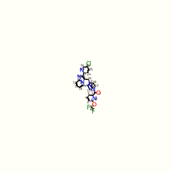 O=C(c1cccc(OC(F)F)n1)N1CC2CCC1CN2Cc1c(-c2ccc(Cl)cn2)nc2ccccn12